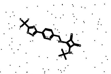 CC(C)(C)Nc1c(NCc2ccc(-c3noc(C(F)(F)F)n3)cn2)c(=O)c1=O